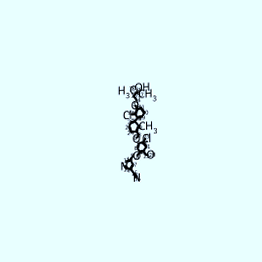 Cc1c(COc2cc(OCc3cncc(C#N)c3)c(C=O)cc2Cl)cccc1-c1cccc(OCCC(C)(C)O)c1Cl